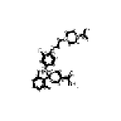 Cc1cccc(C)c1C1(Nc2ccc(OCCN3CCN(C(C)C)CC3)c(F)c2)N=CC(C(N)=O)=CN1